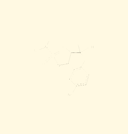 CN(C)S(=O)(=O)NC1c2cc(C#N)ccc2OC(C)(C)C1O